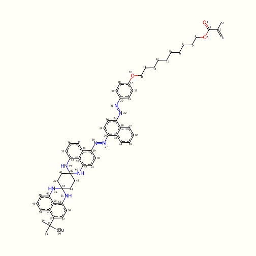 C=C(C)C(=O)OCCCCCCCCCCOc1ccc(/N=N/c2ccc(/N=N/c3ccc4c5c(cccc35)NC3(CCC5(CC3)Nc3cccc6c(C(C)(C)C(C)(C)C)ccc(c36)N5)N4)c3ccccc23)cc1